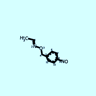 C/C=N/OCc1ccc(N=O)cc1